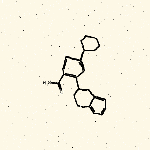 NC(=O)c1ccc(C2CCCCC2)cc1C1CCc2ccccc2C1